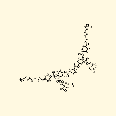 C=CCOCCCCOc1ccc(C(=O)Oc2ccc(OC(=O)C3CC[C@H](C(=O)Oc4ccc(OC(=O)c5ccc(OCCCCOCC=C)cc5)c(C(=O)OCC5(CC)COC5)c4)C3)cc2C(=O)OCC2(CC)COC2)cc1